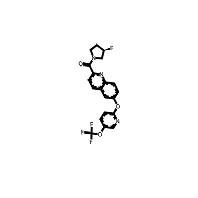 O=C(c1ccc2cc(Oc3ccc(OC(F)(F)F)cn3)ccc2n1)N1CC[C@@H](F)C1